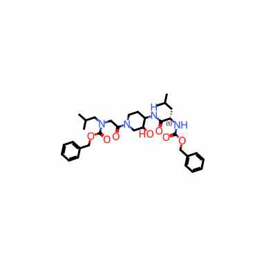 CC(C)C[C@H](NC(=O)OCc1ccccc1)C(=O)NC1CCN(C(=O)CN(CC(C)C)C(=O)OCc2ccccc2)CC1O